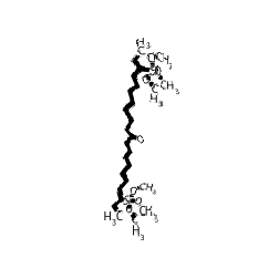 CCC(CCCCCCCC(=O)CCCCCCCC(CC)[Si](OC)(OC)OC)[Si](OC)(OC)OC